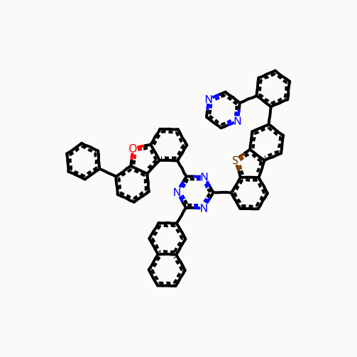 c1ccc(-c2cccc3c2oc2cccc(-c4nc(-c5ccc6ccccc6c5)nc(-c5cccc6c5sc5cc(-c7ccccc7-c7cnccn7)ccc56)n4)c23)cc1